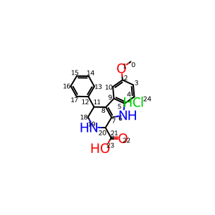 COc1ccc2[nH]c3c(c2c1)C(c1ccccc1)CNC3C(=O)O.Cl